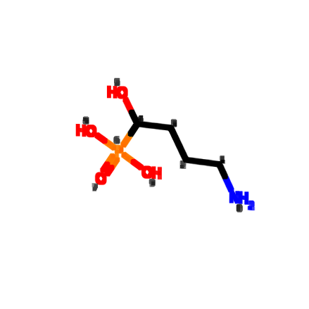 NCCCC(O)P(=O)(O)O